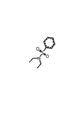 CCN(CC)S(=O)(=O)c1ccccc1